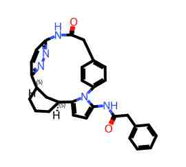 O=C1Cc2ccc(cc2)-n2c(NC(=O)Cc3ccccc3)ccc2[C@H]2CCC[C@@H](C2)c2ccc(nn2)N1